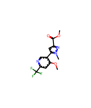 COC(=O)c1cc(-c2cnc(C(F)(F)F)cc2OC)n(C)n1